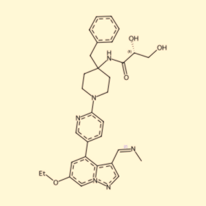 CCOc1cc(-c2ccc(N3CCC(Cc4ccccc4)(NC(=O)[C@H](O)CO)CC3)nc2)c2c(/C=N\C)cnn2c1